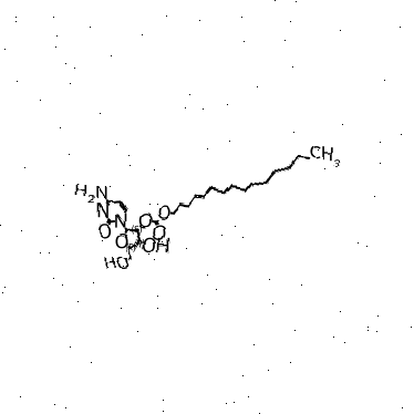 CCCCCCCCCCCCCCCCOC(=O)O[C@@H]1C(n2ccc(N)nc2=O)O[C@H](CO)[C@H]1O